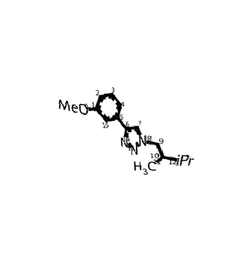 COc1cccc(-c2cn(CC(C)C(C)C)nn2)c1